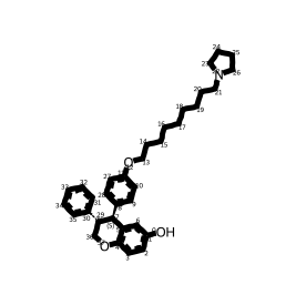 Oc1ccc2c(c1)[C@H](c1ccc(OCCCCCCCCCN3CCCC3)cc1)[C@@H](c1ccccc1)CO2